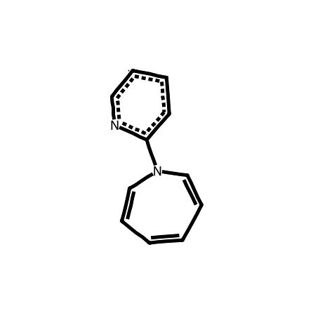 [c]1ccc(N2C=CC=CC=C2)nc1